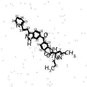 CCCn1nc(C)cc1C(=O)Nc1cc(C(=O)c2ccc3c(/C=C/c4ccccn4)n[nH]c3c2)ccc1C